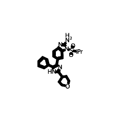 CC(C)S(=O)(=O)n1c(N)nc2ccc(-c3nc(C4CCOCC4)[nH]c3-c3ccccc3)cc21